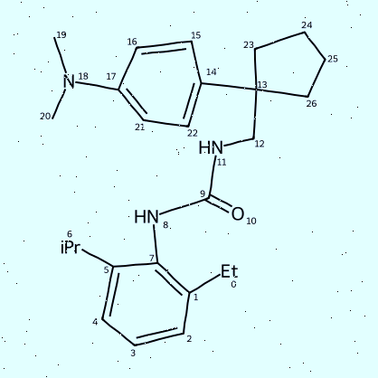 CCc1cccc(C(C)C)c1NC(=O)NCC1(c2ccc(N(C)C)cc2)CCCC1